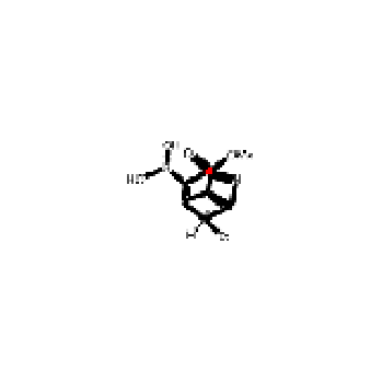 CC[C@@H]1c2ncc(B(O)O)c1c2C(=O)OC